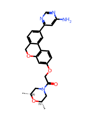 C[C@@H]1CN(C(=O)COc2ccc3c(c2)OCc2ccc(-c4cc(N)ncn4)cc2-3)C[C@H](C)O1